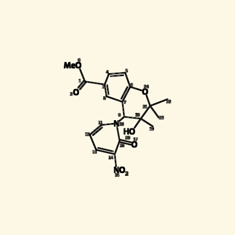 COC(=O)c1ccc2c(c1)C(n1cccc([N+](=O)[O-])c1=O)C(C)(O)C(C)(C)O2